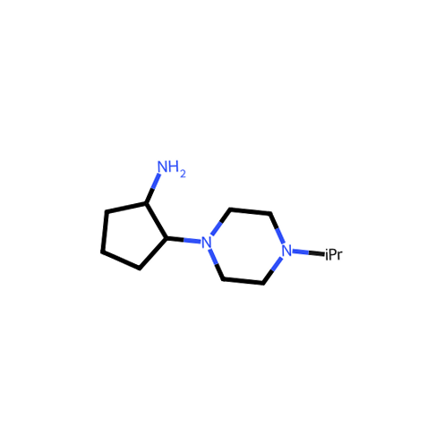 CC(C)N1CCN(C2CCCC2N)CC1